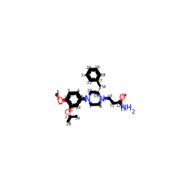 COc1ccc(N2CCN(CCC(N)=O)[C@@H](Cc3ccccc3)C2)cc1OC(C)C